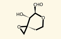 O=C[C@H]1OCC[C@@]2(CO2)[C@@H]1O